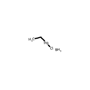 B.C[CH2][Hg][Cl]